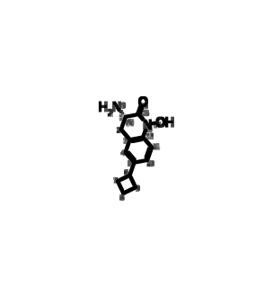 N[C@H]1Cc2cc(C3CCC3)ccc2N(O)C1=O